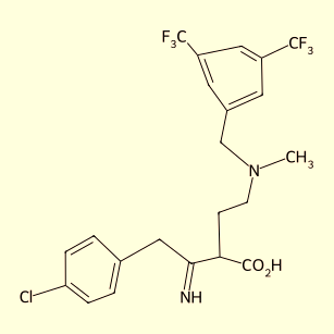 CN(CCC(C(=N)Cc1ccc(Cl)cc1)C(=O)O)Cc1cc(C(F)(F)F)cc(C(F)(F)F)c1